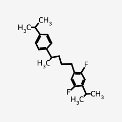 CC(C)c1ccc(C(C)CCCc2cc(F)c(C(C)C)cc2F)cc1